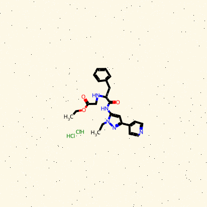 CCOC(=O)CNC(Cc1ccccc1)C(=O)Nc1cc(-c2ccncc2)nn1CC.Cl.Cl